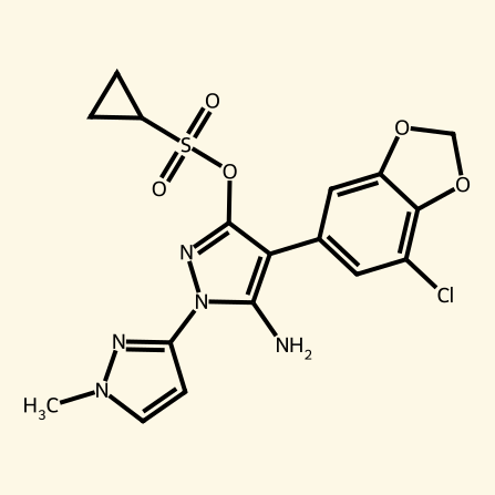 Cn1ccc(-n2nc(OS(=O)(=O)C3CC3)c(-c3cc(Cl)c4c(c3)OCO4)c2N)n1